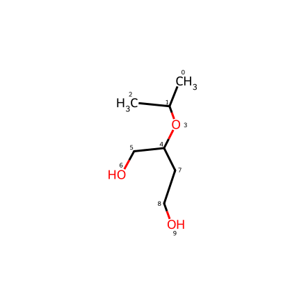 CC(C)OC(CO)CCO